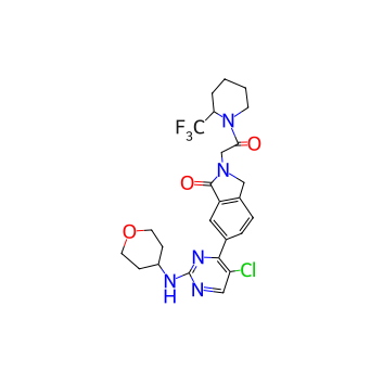 O=C1c2cc(-c3nc(NC4CCOCC4)ncc3Cl)ccc2CN1CC(=O)N1CCCCC1C(F)(F)F